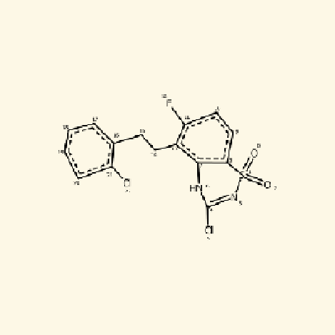 O=S1(=O)N=C(Cl)Nc2c1ccc(F)c2CCc1ccccc1Cl